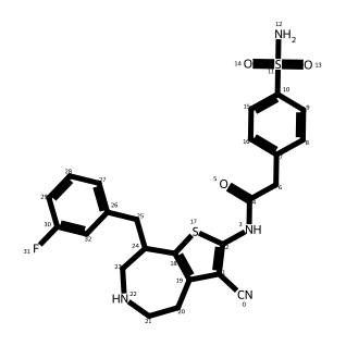 N#Cc1c(NC(=O)Cc2ccc(S(N)(=O)=O)cc2)sc2c1CCNCC2Cc1cccc(F)c1